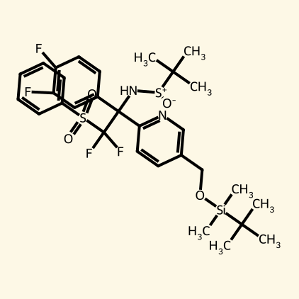 CC(C)(C)[S+]([O-])NC(c1ccc(F)c(F)c1)(c1ccc(CO[Si](C)(C)C(C)(C)C)cn1)C(F)(F)S(=O)(=O)c1ccccc1